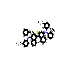 Cc1cccc(N(c2ccccc2C)c2cc3sc4cc(N(c5cccc(C)c5)c5ccccc5C)c5ccccc5c4c3c3ccccc23)c1